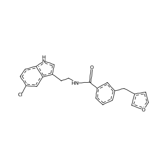 O=C(NCCc1c[nH]c2ccc(Cl)cc12)c1cccc(Cc2ccoc2)c1